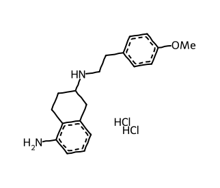 COc1ccc(CCNC2CCc3c(N)cccc3C2)cc1.Cl.Cl